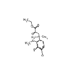 CCOC(=O)C(=O)CC(C)(C)c1ccc(Cl)c(F)c1OC